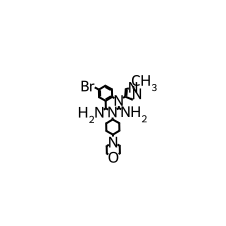 Cn1cc(N2c3ccc(Br)cc3C(N)N(C3CCC(N4CCOCC4)CC3)C2N)cn1